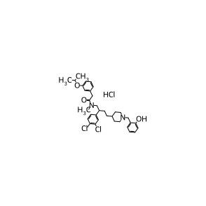 CC(C)Oc1cccc(CC(=O)N(C)CC(CCC2CCN(Cc3ccccc3O)CC2)c2ccc(Cl)c(Cl)c2)c1.Cl